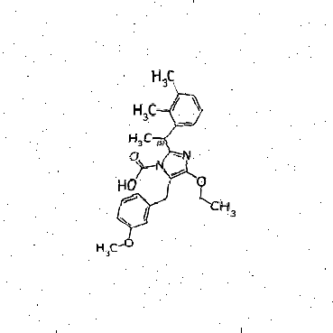 CCOc1nc([C@@H](C)c2cccc(C)c2C)n(C(=O)O)c1Cc1cccc(OC)c1